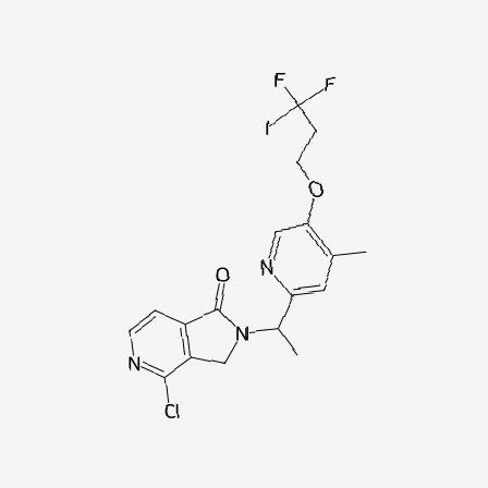 Cc1cc(C(C)N2Cc3c(ccnc3Cl)C2=O)ncc1OCCC(F)(F)I